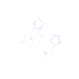 O=C(O)Cn1cnnc1.O=P(O)(O)C(O)(Cn1cnnc1)P(=O)(O)O